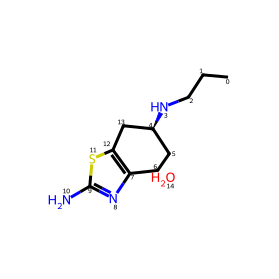 CCCN[C@H]1CCc2nc(N)sc2C1.O